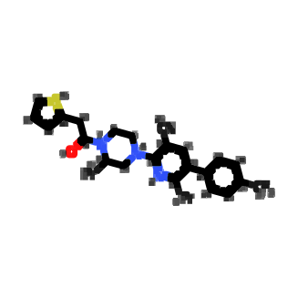 CC(C)c1nc(N2CCN(C(=O)Cc3cccs3)C(C(C)C)C2)c(C#N)cc1-c1ccc(C(F)(F)F)cc1